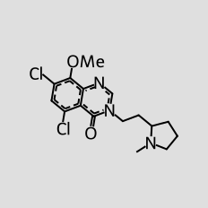 COc1c(Cl)cc(Cl)c2c(=O)n(CCC3CCCN3C)cnc12